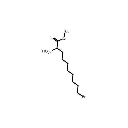 CCC(C)OC(=O)C(CCCCCCCCBr)C(=O)O